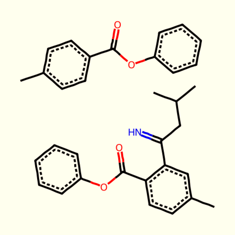 Cc1ccc(C(=O)Oc2ccccc2)c(C(=N)CC(C)C)c1.Cc1ccc(C(=O)Oc2ccccc2)cc1